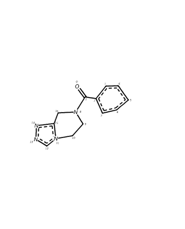 O=C(c1ccccc1)N1CCn2cnnc2C1